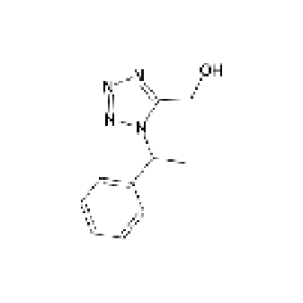 CC(c1ccccc1)n1nnnc1CO